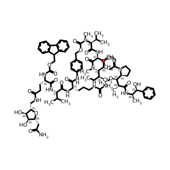 CC[C@H](C)[C@@H]([C@@H](CC(=O)N1CCC[C@H]1[C@H](OC)[C@@H](C)C(=O)N[C@H](C)[C@@H](O)c1ccccc1)OC)N(C)C(=O)[C@@H](NC(=O)[C@H](C(C)C)N(C)C(=O)OCc1ccc(NC(=O)[C@H](CCCNC(N)=O)NC(=O)[C@@H](NC(=O)[C@H](CCC(=O)NC[C@@H]2O[C@H](CC(N)=O)[C@@H](O)[C@H]2O)NC(=O)OCC2c3ccccc3-c3ccccc32)C(C)C)cc1)C(C)C